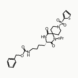 CCCN1C(=O)[C@H](CCCCNC(=O)OCc2ccccc2)NC(=O)C12CCN(S(=O)(=O)c1cccs1)CC2